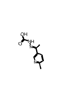 CC(=NNC(=O)O)c1ccc(C)nc1